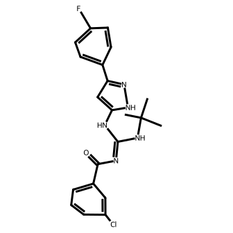 CC(C)(C)N/C(=N/C(=O)c1cccc(Cl)c1)Nc1cc(-c2ccc(F)cc2)n[nH]1